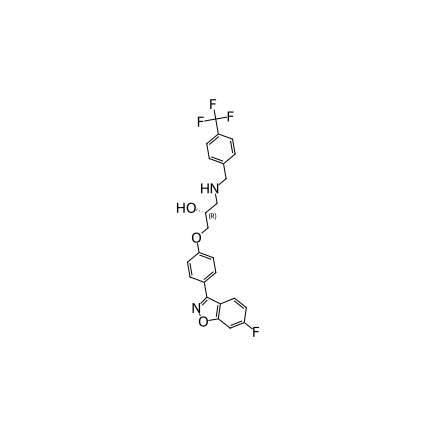 O[C@H](CNCc1ccc(C(F)(F)F)cc1)COc1ccc(-c2noc3cc(F)ccc23)cc1